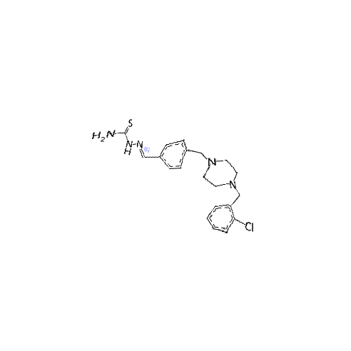 NC(=S)N/N=C/c1ccc(CN2CCN(Cc3ccccc3Cl)CC2)cc1